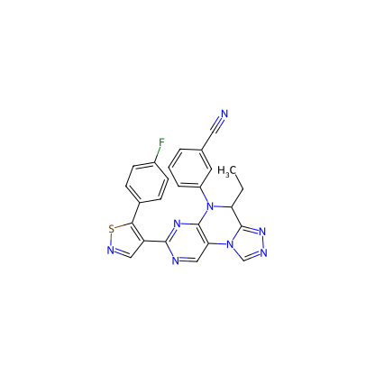 CCC1c2nncn2-c2cnc(-c3cnsc3-c3ccc(F)cc3)nc2N1c1cccc(C#N)c1